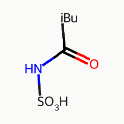 CCC(C)C(=O)NS(=O)(=O)O